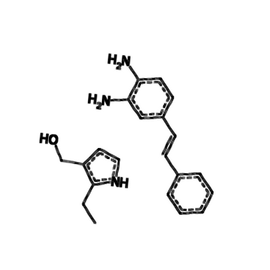 CCc1[nH]ccc1CO.Nc1ccc(C=Cc2ccccc2)cc1N